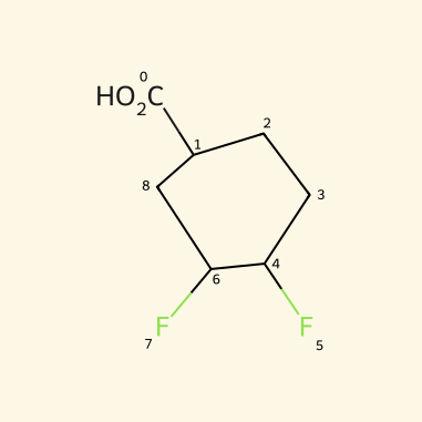 O=C(O)C1CCC(F)C(F)C1